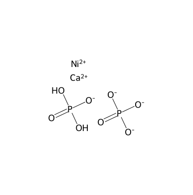 O=P([O-])(O)O.O=P([O-])([O-])[O-].[Ca+2].[Ni+2]